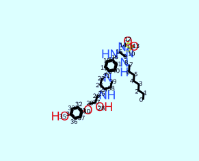 CCCCCCCCNC1=NS(=O)(=O)N=C1Nc1ccc(N2CCC(NC[C@H](O)COc3ccc(O)cc3)CC2)cc1